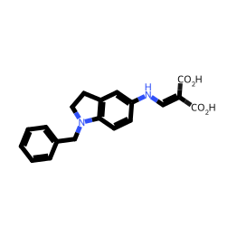 O=C(O)C(=CNc1ccc2c(c1)CCN2Cc1ccccc1)C(=O)O